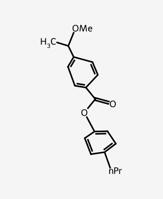 CCCc1ccc(OC(=O)c2ccc(C(C)OC)cc2)cc1